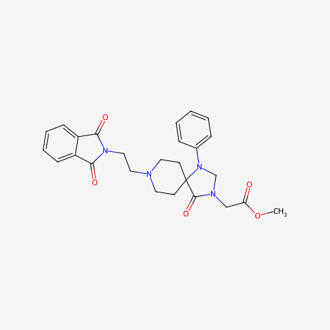 COC(=O)CN1CN(c2ccccc2)C2(CCN(CCN3C(=O)c4ccccc4C3=O)CC2)C1=O